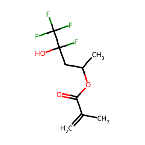 C=C(C)C(=O)OC(C)CC(O)(F)C(F)(F)F